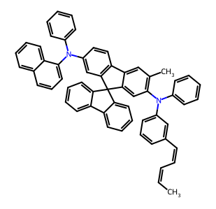 C/C=C\C=C/c1cccc(N(c2ccccc2)c2cc3c(cc2C)-c2ccc(N(c4ccccc4)c4cccc5ccccc45)cc2C32c3ccccc3-c3ccccc32)c1